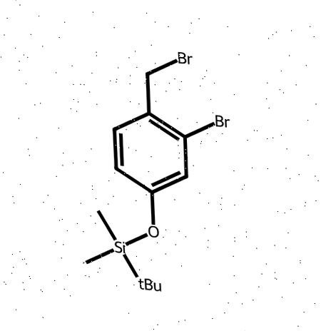 CC(C)(C)[Si](C)(C)Oc1ccc(CBr)c(Br)c1